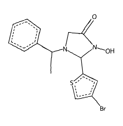 CC(c1ccccc1)N1CC(=O)N(O)C1c1cc(Br)cs1